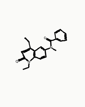 CCc1cc(=O)n(CC)c2ccc(N(C)C(=O)c3ccccc3)cc12